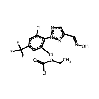 CCOC(=O)Cl.ON=Cc1cnn(-c2c(Cl)cc(C(F)(F)F)cc2Cl)n1